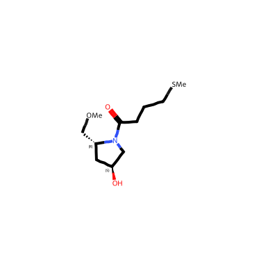 COC[C@H]1C[C@H](O)CN1C(=O)CCCSC